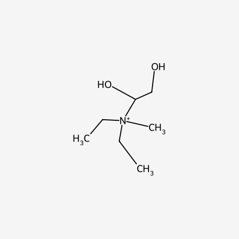 CC[N+](C)(CC)C(O)CO